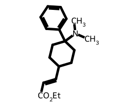 CCOC(=O)/C=C/C1CCC(c2ccccc2)(N(C)C)CC1